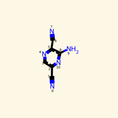 N#Cc1cnc(C#N)c(N)n1